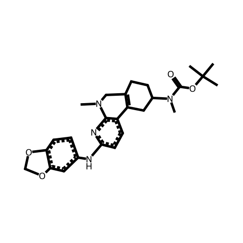 CN1CC2=C(CC(N(C)C(=O)OC(C)(C)C)CC2)c2ccc(Nc3ccc4c(c3)OCO4)nc21